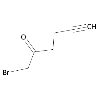 C#CCCC(=O)CBr